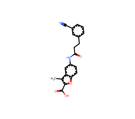 Cc1c(C(=O)O)oc2ccc(NC(=O)CCc3cccc(C#N)c3)cc12